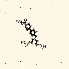 CC(C)(C)OC(=O)N1CCC(c2ccc(CN(CCC(=O)O)CCC(=O)O)cc2)CC1